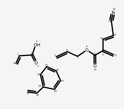 C=CC(=O)O.C=CCOC(=O)C(=C)C=CC#N.C=Cc1ccccc1